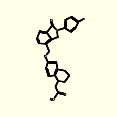 Cc1ccc(N2Cc3c(COc4ccc5c(c4)CCCC5CC(=O)O)cccc3C2=O)cc1